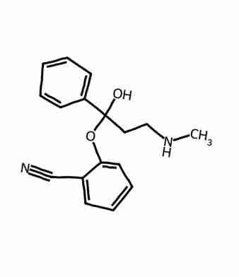 CNCCC(O)(Oc1ccccc1C#N)c1ccccc1